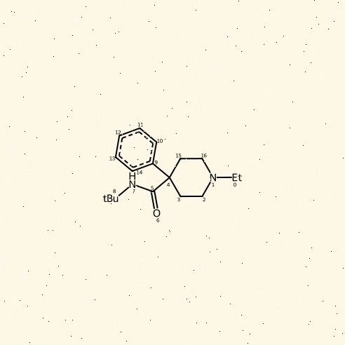 CCN1CCC(C(=O)NC(C)(C)C)(c2ccccc2)CC1